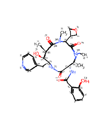 C[C@@H]1[C@H](NC(=O)c2ccccc2O)C(=O)N[C@@H](Cc2cccnc2)[C@@H](O)[C@@H](C)C(=O)N(C)C(C2COC2)C(=O)N1C